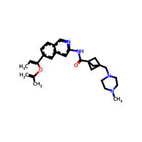 C=C(C)O/C(=C\C)c1ccc2cnc(NC(=O)C34CC(CN5CCN(C)CC5)(C3)C4)cc2c1